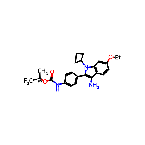 CCOc1ccc2c(N)c(-c3ccc(NC(=O)O[C@H](C)C(F)(F)F)cc3)n(C3CCC3)c2c1